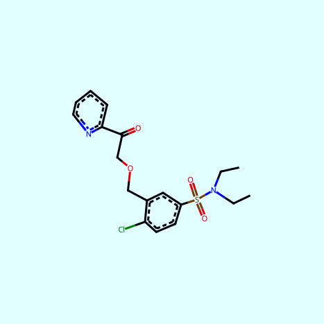 CCN(CC)S(=O)(=O)c1ccc(Cl)c(COCC(=O)c2ccccn2)c1